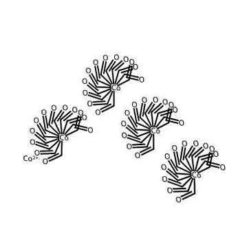 O=[CH][Co]([CH]=O)([CH]=O)([CH]=O)([CH]=O)([CH]=O)([CH]=O)([CH]=O)([CH]=O)([CH]=O)([CH]=O)[CH]=O.O=[CH][Co]([CH]=O)([CH]=O)([CH]=O)([CH]=O)([CH]=O)([CH]=O)([CH]=O)([CH]=O)([CH]=O)([CH]=O)[CH]=O.O=[CH][Co]([CH]=O)([CH]=O)([CH]=O)([CH]=O)([CH]=O)([CH]=O)([CH]=O)([CH]=O)([CH]=O)([CH]=O)[CH]=O.O=[CH][Co]([CH]=O)([CH]=O)([CH]=O)([CH]=O)([CH]=O)([CH]=O)([CH]=O)([CH]=O)([CH]=O)([CH]=O)[CH]=O.[Co+2]